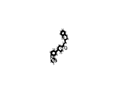 C1=NCCO1.O=C(CCC1CC=c2ccccc2=N1)N1CCC(c2ccccc2)CC1